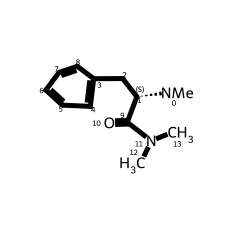 CN[C@@H](Cc1ccccc1)C(=O)N(C)C